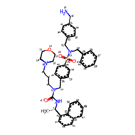 C[C@H](NC(=O)N(CCCN1CCOCC1)Cc1ccc(S(=O)(=O)N(Cc2ccccc2)Cc2ccc(CN)cc2)cc1)c1cccc2ccccc12